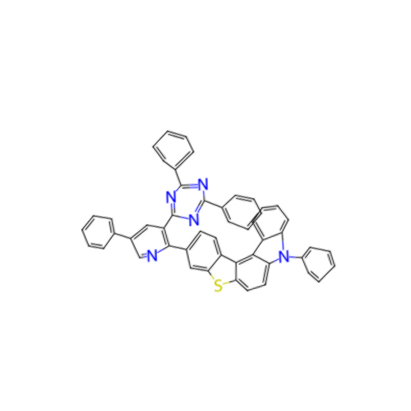 c1ccc(-c2cnc(-c3ccc4c(c3)sc3ccc5c(c6ccccc6n5-c5ccccc5)c34)c(-c3nc(-c4ccccc4)nc(-c4ccccc4)n3)c2)cc1